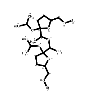 CCCCC(C)OC1(C(C)OC(C)C2(OC(C)CCCC)CCC(COCC)O2)CCC(COCC)O1